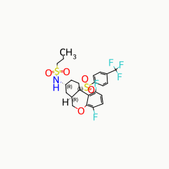 CCCS(=O)(=O)N[C@@H]1CC[C@@]2(S(=O)(=O)c3ccc(C(F)(F)F)cc3)c3c(F)ccc(F)c3OC[C@H]2C1